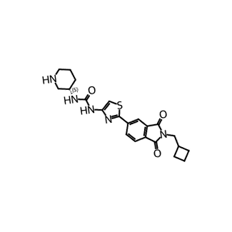 O=C(Nc1csc(-c2ccc3c(c2)C(=O)N(CC2CCC2)C3=O)n1)N[C@H]1CCCNC1